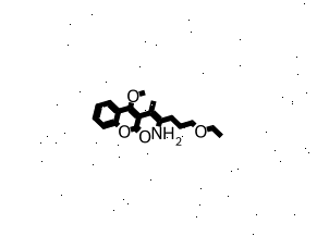 CCOCCC/C(N)=C(\C)c1c(OC)c2ccccc2oc1=O